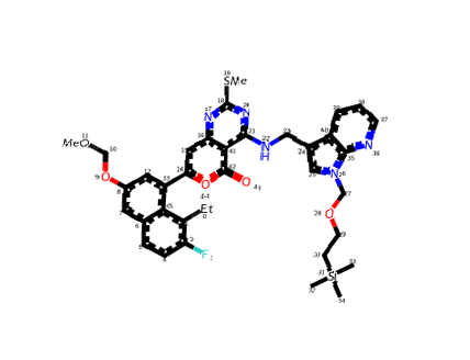 CCc1c(F)ccc2cc(OCOC)cc(-c3cc4nc(SC)nc(NCc5cn(COCC[Si](C)(C)C)c6ncccc56)c4c(=O)o3)c12